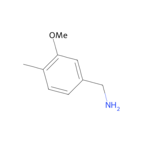 COc1cc(CN)ccc1C